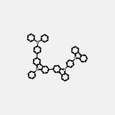 c1ccc(N(c2ccccc2)c2ccc(-c3ccc4c(c3)c3cc(-c5ccc6c(c5)c5ccccc5n6-c5ccc(-n6c7ccccc7c7ccccc76)cc5)ccc3n4-c3ccccc3)cc2)cc1